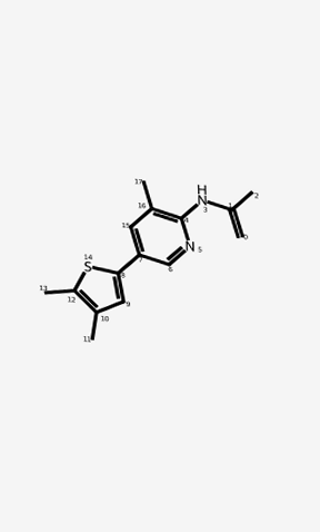 C=C(C)Nc1ncc(-c2cc(C)c(C)s2)cc1C